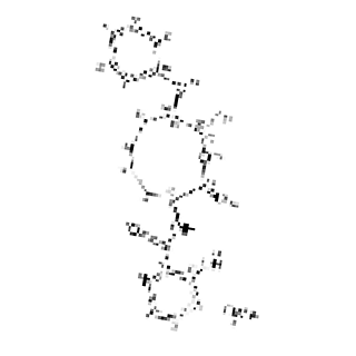 COc1ccnc(C(=O)N[C@H]2CCCC[C@@H](Oc3ccccc3)[C@H](C)OC2=O)c1O